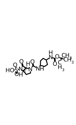 CC(C)(C)OC(=O)NC1CCC(NC(=O)N2CC[C@@H]3[C@H]2C(=O)N3S(=O)(=O)O)CC1